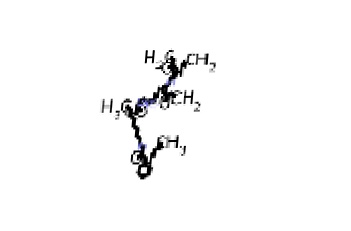 C=CCN(C/C=C/CN(C/C=C\C=C/C(=O)N(C)CCCCCC/C=C/C(=O)N(CCCC)C1CCCCC1)C(=O)C=C)C(=O)C=C